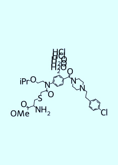 COC(=O)C(N)CSCC(=O)N(CCOC(C)C)c1ccc(C(=O)N2CCN(CCc3ccc(Cl)cc3)CC2)cc1.Cl.Cl.O.O.O